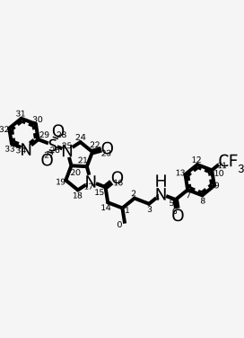 CC(CCNC(=O)c1ccc(C(F)(F)F)cc1)CC(=O)N1CCC2C1C(=O)CN2S(=O)(=O)c1ccccn1